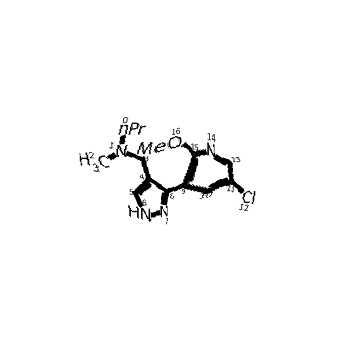 CCCN(C)Cc1c[nH]nc1-c1cc(Cl)cnc1OC